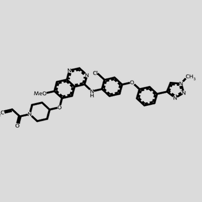 C=CC(=O)N1CCC(Oc2cc3c(Nc4ccc(Oc5cccc(-c6cn(C)nn6)c5)cc4Cl)ncnc3cc2OC)CC1